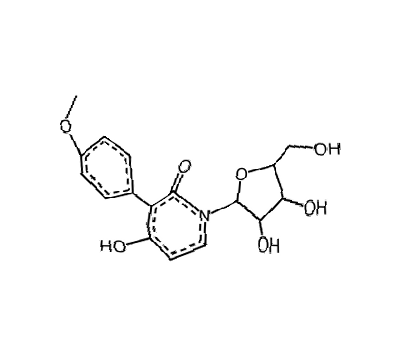 COc1ccc(-c2c(O)ccn(C3OC(CO)C(O)C3O)c2=O)cc1